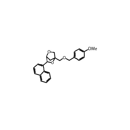 COc1ccc(COCC23COC(C2)C(c2cccc4ccccc24)O3)cc1